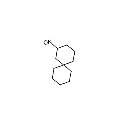 O=NC1CCCC2(CCCCC2)C1